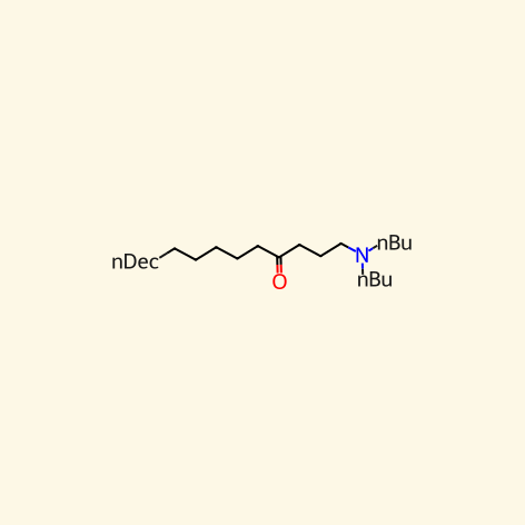 CCCCCCCCCCCCCCCC(=O)CCCN(CCCC)CCCC